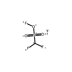 O=S(=O)(OF)C(F)F.[Y]